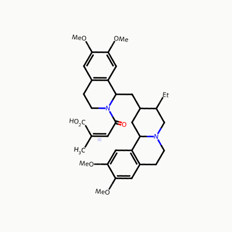 CCC1CN2CCc3cc(OC)c(OC)cc3C2CC1CC1c2cc(OC)c(OC)cc2CCN1C(=O)/C=C(/C)C(=O)O